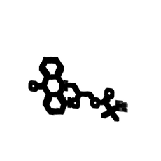 CCC(C)(C)C(=O)OCC(O)Cn1c2ccccc2c(=O)c2ccccc21